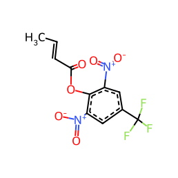 C/C=C/C(=O)Oc1c([N+](=O)[O-])cc(C(F)(F)F)cc1[N+](=O)[O-]